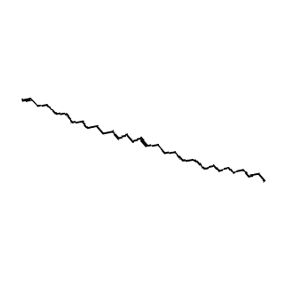 C=CCCCCCCCCCCCCCC=CCCCCCCCCCCCCCC